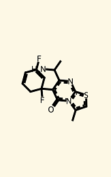 Cc1csc2nc(C(C)N)c(C3(F)C=C(F)C=CC3)c(=O)n12